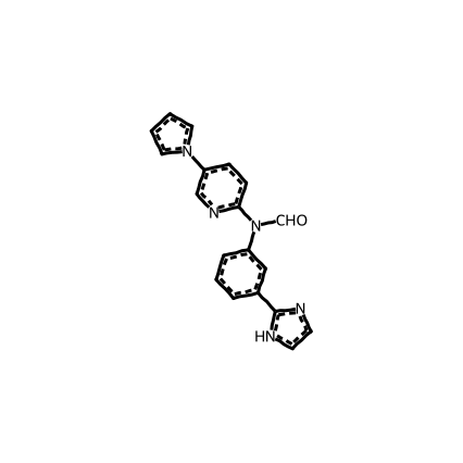 O=CN(c1cccc(-c2ncc[nH]2)c1)c1ccc(-n2cccc2)cn1